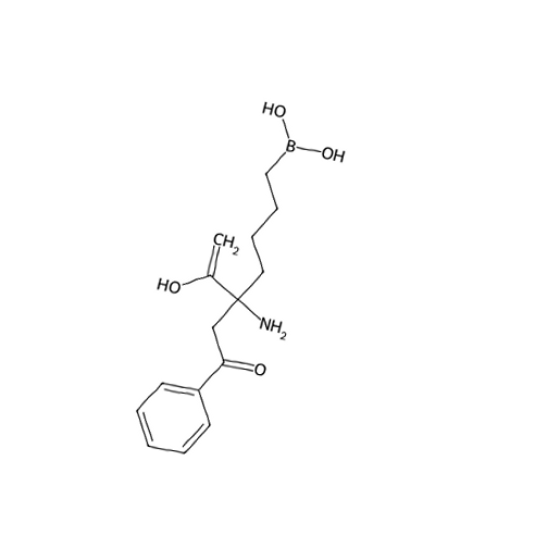 C=C(O)C(N)(CCCCB(O)O)CC(=O)c1ccccc1